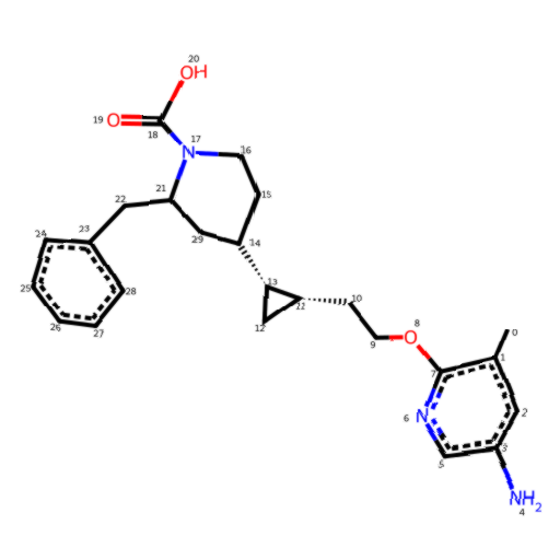 Cc1cc(N)cnc1OCC[C@@H]1C[C@@H]1C1CCN(C(=O)O)C(Cc2ccccc2)C1